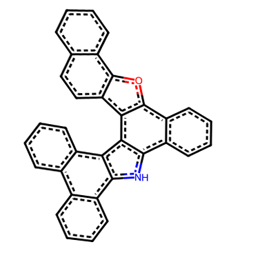 c1ccc2c(c1)ccc1c2oc2c3ccccc3c3[nH]c4c5ccccc5c5ccccc5c4c3c12